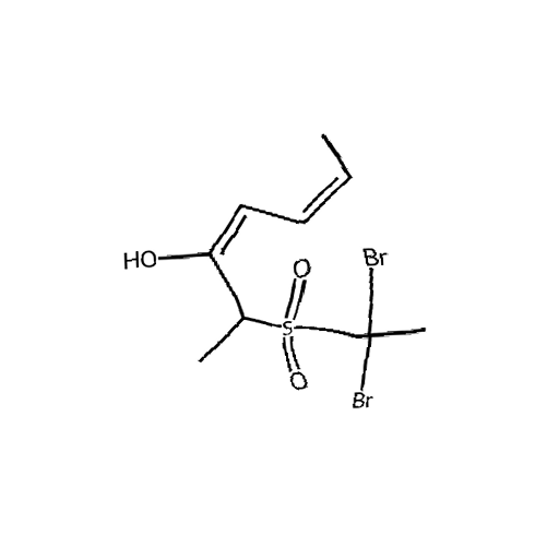 C/C=C\C=C(\O)C(C)S(=O)(=O)C(C)(Br)Br